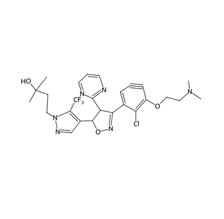 CN(C)CCOc1c#ccc(C2=NOC(c3cnn(CCC(C)(C)O)c3C(F)(F)F)C2c2ncccn2)c1Cl